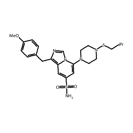 COc1ccc(Cc2ncn3c(N4CCN(SCC(C)C)CC4)cc(S(N)(=O)=O)cc23)cc1